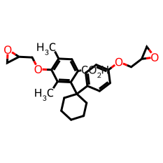 Cc1cc(C(=O)O)c(C2(c3ccc(OCC4CO4)cc3)CCCCC2)c(C)c1OCC1CO1